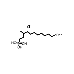 CCCCCCCCCCCCCCCCCCC(C)CC[N+](O)(O)O.[Cl-]